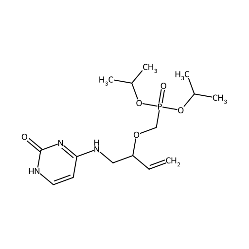 C=CC(CNc1cc[nH]c(=O)n1)OCP(=O)(OC(C)C)OC(C)C